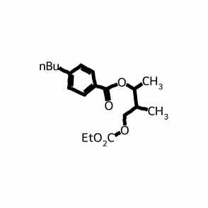 CCCCc1ccc(C(=O)OC(C)C(C)COC(=O)OCC)cc1